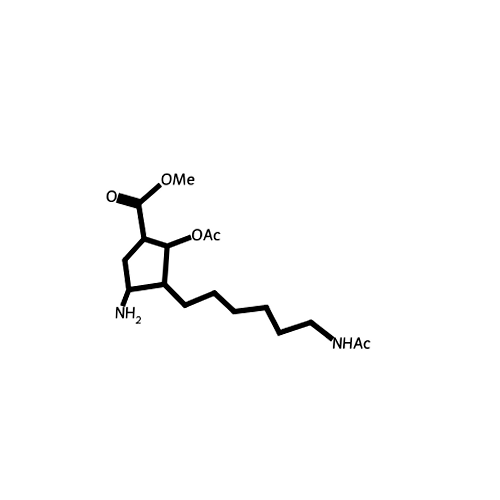 COC(=O)C1CC(N)C(CCCCCCNC(C)=O)C1OC(C)=O